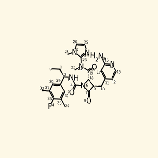 CC[C@@H](NC(=O)N1C(=O)[C@H](Cc2ccnc(N)c2)[C@H]1C(=O)N(C)c1nccn1C)c1cc(C)c(F)c(C)c1